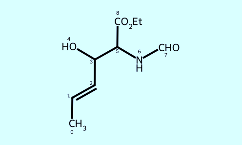 C/C=C/C(O)C(NC=O)C(=O)OCC